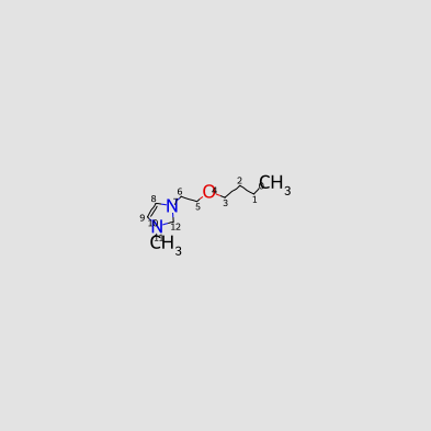 CCCCOCCN1C=CN(C)C1